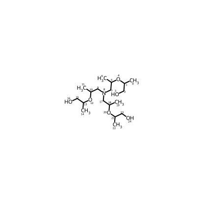 CC(CO)OC(C)CN(CC(C)OC(C)CO)CC(C)OC(C)CO